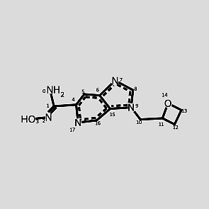 NC(=NO)c1cc2ncn(CC3CCO3)c2cn1